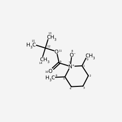 CC1CCCC(C)[N+]1([O-])C(=O)OC(C)(C)C